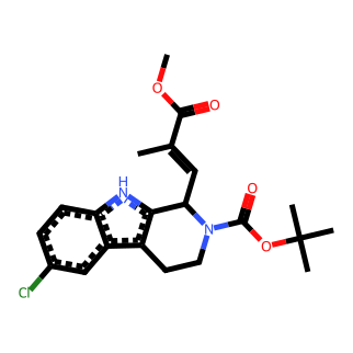 COC(=O)/C(C)=C/C1c2[nH]c3ccc(Cl)cc3c2CCN1C(=O)OC(C)(C)C